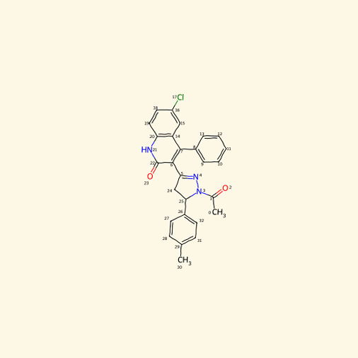 CC(=O)N1N=C(c2c(-c3ccccc3)c3cc(Cl)ccc3[nH]c2=O)CC1c1ccc(C)cc1